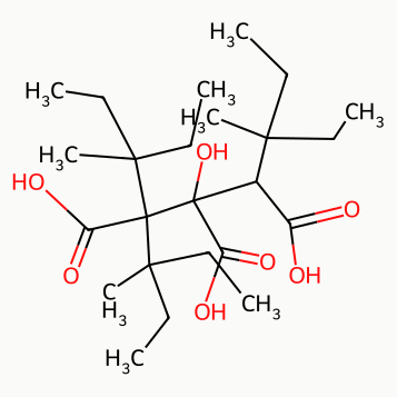 CCC(C)(CC)C(C(=O)O)C(O)(C(=O)O)C(C(=O)O)(C(C)(CC)CC)C(C)(CC)CC